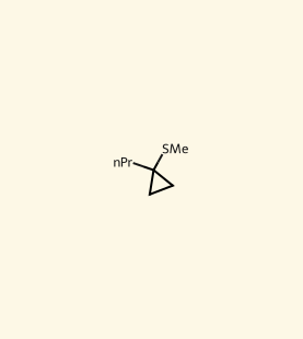 CCCC1(SC)CC1